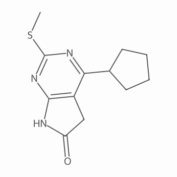 CSc1nc2c(c(C3CCCC3)n1)CC(=O)N2